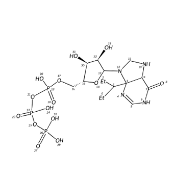 CCC(CC)C12N=CNC(=O)C1NCN2C1O[C@H](COP(=O)(O)OP(=O)(O)OP(=O)(O)O)[C@@H](O)[C@H]1O